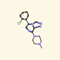 CN1CCN(c2ncc(-c3ccccc3Cl)n3cnnc23)CC1